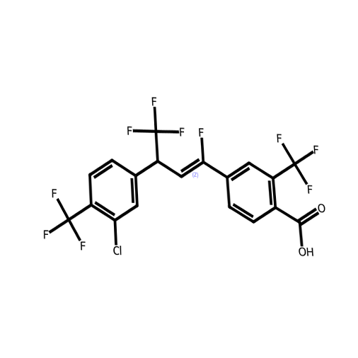 O=C(O)c1ccc(/C(F)=C/C(c2ccc(C(F)(F)F)c(Cl)c2)C(F)(F)F)cc1C(F)(F)F